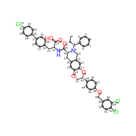 CC[C@@H](c1ccccc1)N1Cc2cc3c(cc2C[C@H]1C(=O)NC(Cc1ccc(-c2ccc(Cl)cc2)cc1)C(=O)O)OC[C@H](c1ccc(OCc2ccc(Cl)c(Cl)c2)cc1)O3